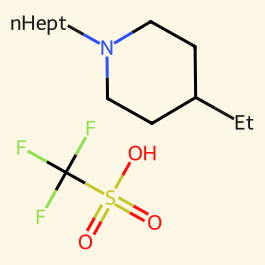 CCCCCCCN1CCC(CC)CC1.O=S(=O)(O)C(F)(F)F